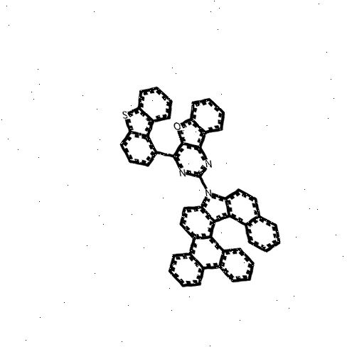 c1ccc2c(c1)ccc1c2c2c3c4ccccc4c4ccccc4c3ccc2n1-c1nc(-c2cccc3sc4ccccc4c23)c2oc3ccccc3c2n1